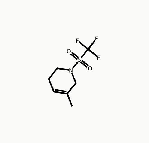 CC1=CCCN(S(=O)(=O)C(F)(F)F)C1